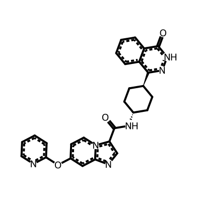 O=C(N[C@H]1CC[C@H](c2n[nH]c(=O)c3ccccc32)CC1)c1cnc2cc(Oc3ccccn3)ccn12